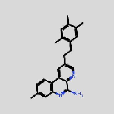 Cc1ccc2c(c1)nc(N)c1ncc(CCc3cc(C)c(C)cc3C)cc12